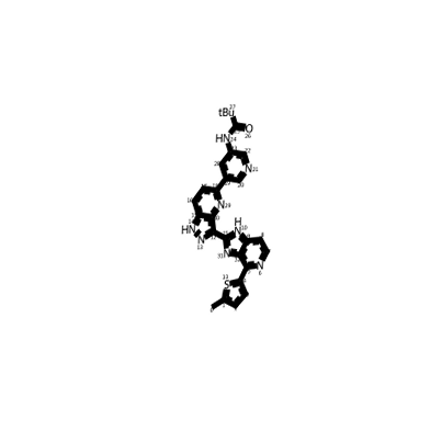 Cc1ccc(-c2nccc3[nH]c(-c4n[nH]c5ccc(-c6cncc(NC(=O)C(C)(C)C)c6)nc45)nc23)s1